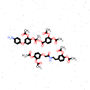 CC(=O)Oc1ccc(C(=O)O)cc1OC(C)=O.CC(=O)Oc1ccc(CCNC(=O)COc2ccc(OC(C)=O)c(OC(C)=O)c2)cc1OC(C)=O.CC(=O)Oc1ccc(Oc2ccc(N)cc2)cc1OC(C)=O